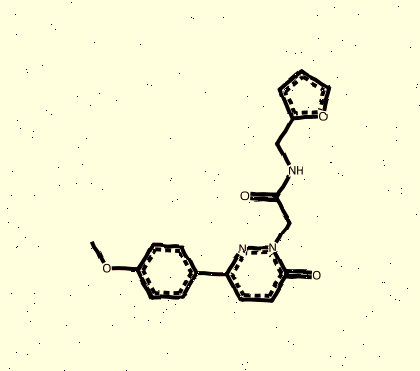 COc1ccc(-c2ccc(=O)n(CC(=O)NCc3ccco3)n2)cc1